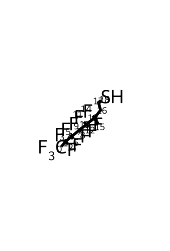 FC(F)(F)C(F)(F)C(F)(F)C(F)(F)C(F)(F)C(F)(F)CCS